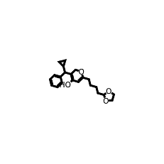 OC1=C(C(c2ccccc2)C2CC2)COC(CCCCC2OCCO2)=C1